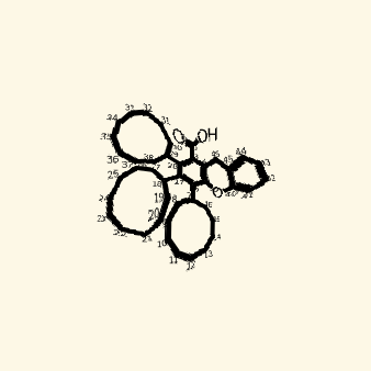 O=C(O)c1c2c(c(C3CCCCCCCCC3)c(C3CCCCCCCCC3)c1C1CCCCCCCCC1)Oc1ccccc1C2